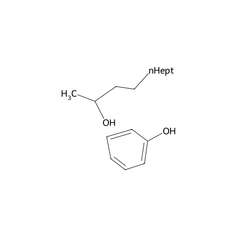 CCCCCCCCCC(C)O.Oc1ccccc1